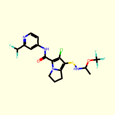 CC(NSc1c(Cl)c(C(=O)Nc2ccnc(C(F)F)c2)n2c1CCC2)OC(F)(F)F